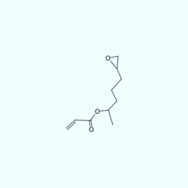 C=CC(=O)OC(C)CCCC1CO1